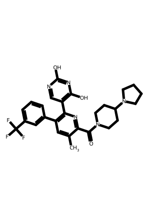 Cc1cc(-c2cccc(C(F)(F)F)c2)c(-c2cnc(O)nc2O)nc1C(=O)N1CCC(N2CCCC2)CC1